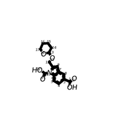 O=C(O)c1ccc2c(c1)cc(COC1CCCCO1)n2C(=O)O